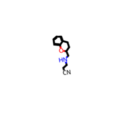 N#CCCNCC1CCc2ccccc2O1